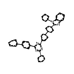 c1ccc(-c2ccc(-c3nc(-c4ccccc4)nc(-c4ccc(-c5ccc(-c6nc7ccccc7n6-c6ccccc6)cc5)cc4)n3)cc2)cc1